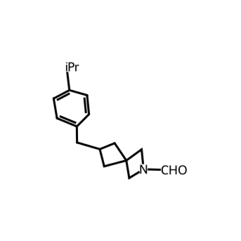 CC(C)c1ccc(CC2CC3(C2)CN(C=O)C3)cc1